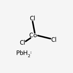 [Cl][Co]([Cl])[Cl].[PbH2]